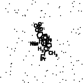 CC(C)CCCC(C)[C@H]1CC[C@H]2[C@@H]3CC=C4C[C@@H](OP(=O)([O-])[O-])CC[C@]4(C)[C@H]3CC[C@]12C.[Na+].[Na+]